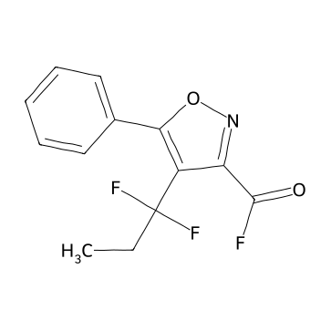 CCC(F)(F)c1c(C(=O)F)noc1-c1ccccc1